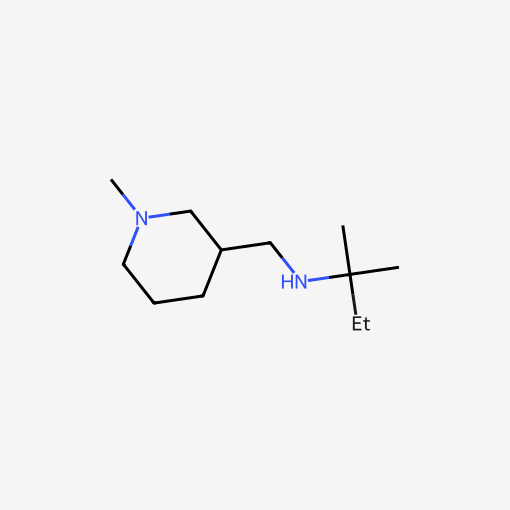 CCC(C)(C)NCC1CCCN(C)C1